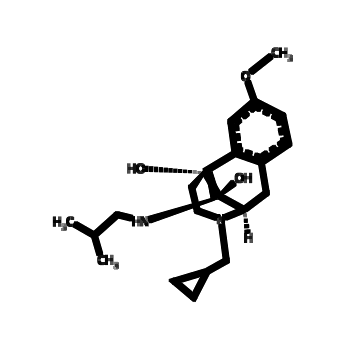 COc1ccc2c(c1)[C@]13CCN(CC4CC4)[C@H](C2)[C@]1(O)C[C@@H](NCC(C)C)[C@H](O)C3